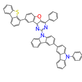 c1ccc(-c2nc(-n3c4ccccc4c4cc(-c5ccc6c(c5)c5ccccc5n6-c5ccccc5)ccc43)nc3c2oc2ccc(-c4cccc5c4sc4ccccc45)cc23)cc1